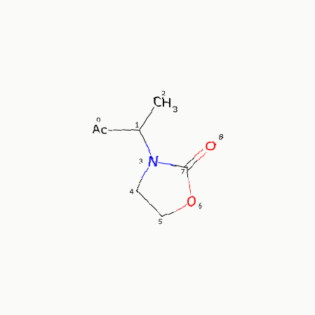 CC(=O)C(C)N1CCOC1=O